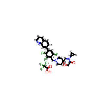 O=C(O)C(F)(F)F.O=C1COC2(CCN(Cc3c(F)cc(-c4ccc5cccnc5c4)c(F)c3F)CC2)CN1C1CC1